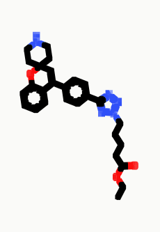 CCOC(=O)CCCCn1nnc(-c2ccc(C3=CC4(CCNCC4)Oc4ccccc43)cc2)n1